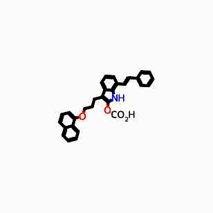 O=C(O)Oc1[nH]c2c(/C=C/c3ccccc3)cccc2c1CCCOc1cccc2ccccc12